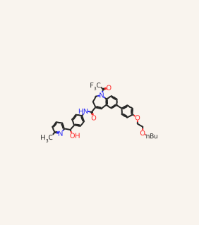 CCCCOCCOc1ccc(-c2ccc3c(c2)C=C(C(=O)Nc2ccc(C(O)c4cccc(C)n4)cc2)CCN3C(=O)C(F)(F)F)cc1